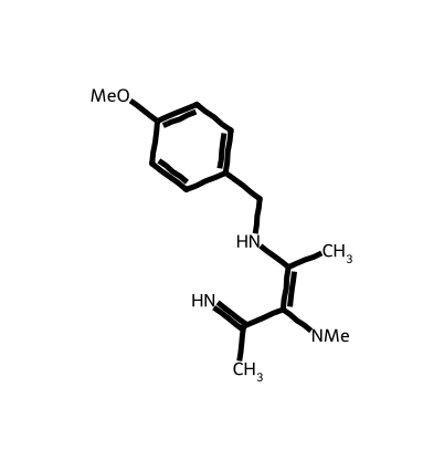 CN/C(C(C)=N)=C(\C)NCc1ccc(OC)cc1